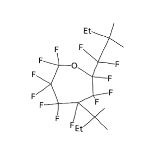 CCC(C)(C)C(F)(F)C1(F)OC(F)(F)C(F)(F)C(F)(F)C(F)(C(C)(C)CC)C1(F)F